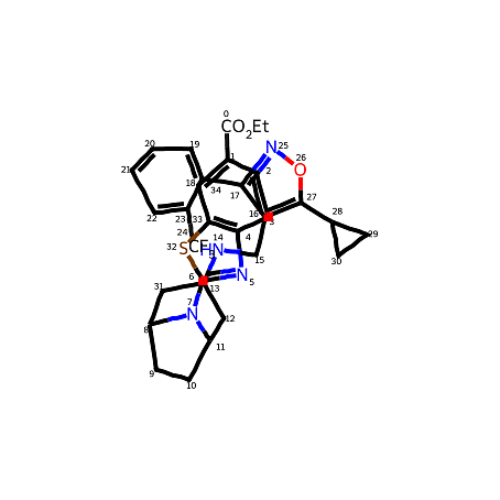 CCOC(=O)c1ccc2nc(N3C4CCC3CC(NCc3c(-c5ccccc5C(F)(F)F)noc3C3CC3)C4)sc2c1